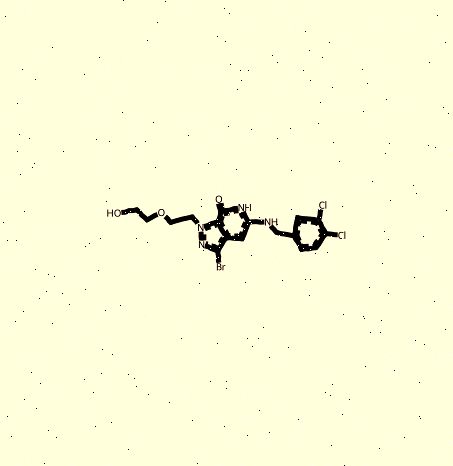 O=c1[nH]c(NCc2ccc(Cl)c(Cl)c2)cc2c(Br)nn(CCOCCO)c12